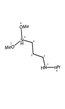 CCCNCCC[SiH](OC)OC